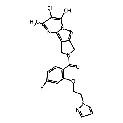 Cc1nc2c3c(nn2c(C)c1Cl)CN(C(=O)c1ccc(F)cc1OCCn1cccn1)C3